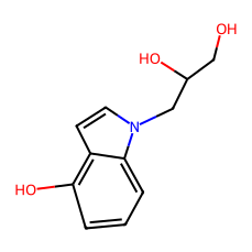 OCC(O)Cn1ccc2c(O)cccc21